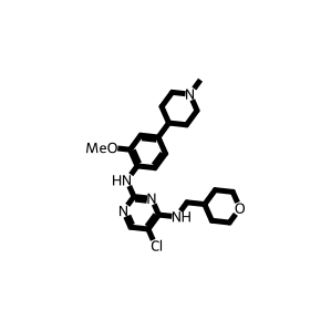 COc1cc(C2CCN(C)CC2)ccc1Nc1ncc(Cl)c(NCC2CCOCC2)n1